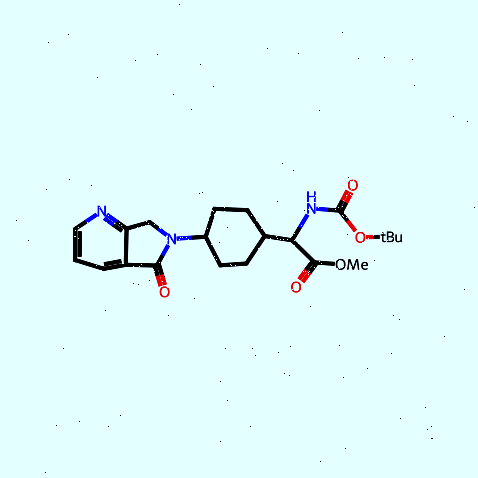 COC(=O)C(NC(=O)OC(C)(C)C)C1CCC(N2Cc3ncccc3C2=O)CC1